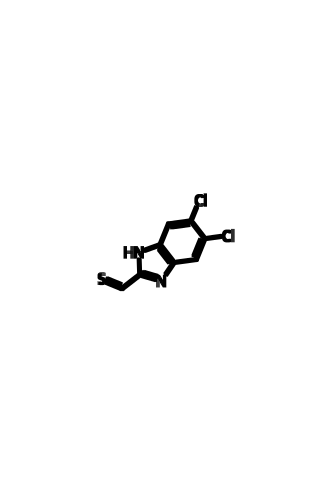 S=Cc1nc2cc(Cl)c(Cl)cc2[nH]1